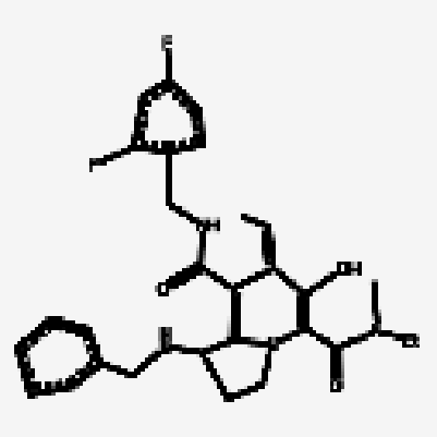 C/C=C1/C(O)=C(C(=O)N(C)CC)N2CCC(NCc3ccccc3)C2=C1C(=O)NCc1ccc(F)cc1F